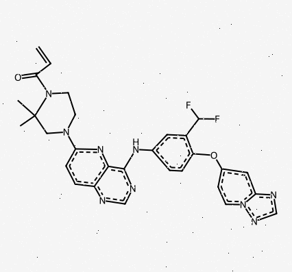 C=CC(=O)N1CCN(c2ccc3ncnc(Nc4ccc(Oc5ccn6ncnc6c5)c(C(F)F)c4)c3n2)CC1(C)C